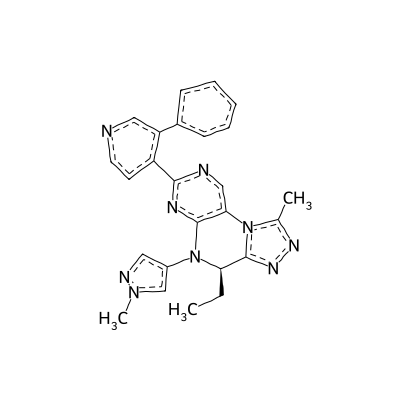 CC[C@@H]1c2nnc(C)n2-c2cnc(-c3ccncc3-c3ccccc3)nc2N1c1cnn(C)c1